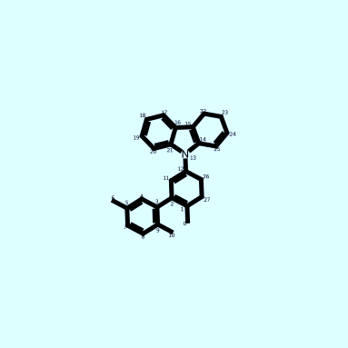 CC1=C(c2cc(C)ccc2C)C=C(n2c3c(c4ccccc42)CCC=C3)CC1